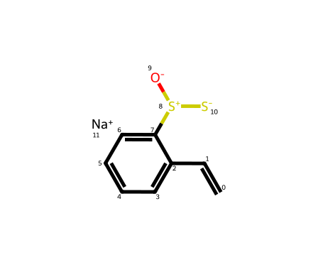 C=Cc1ccccc1[S+]([O-])[S-].[Na+]